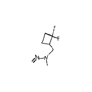 C=NN(C)CC1CCC1(F)F